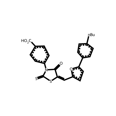 CCCCc1ccc(-c2ccc(C=C3SC(=S)N(c4ccc(C(=O)O)cc4)C3=O)o2)cc1